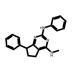 CNc1nc(Nc2cc[c]cc2)nc2c1CCC2c1ccccc1